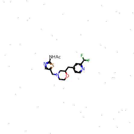 CC(=O)Nc1ncc(CN2CCOC(Cc3ccnc(C(F)F)c3)C2)s1